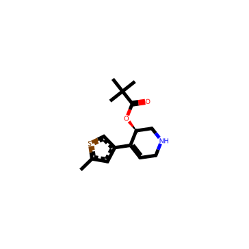 Cc1cc(C2=CCNC[C@@H]2OC(=O)C(C)(C)C)cs1